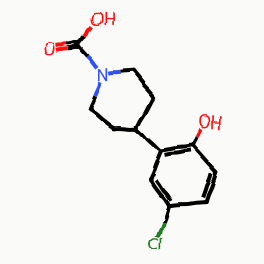 O=C(O)N1CCC(c2cc(Cl)ccc2O)CC1